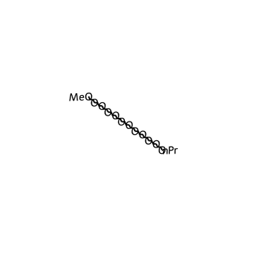 CCCOCCOCCOCCOCCOCCOCCOCCOCCOCCOCCOCCOC